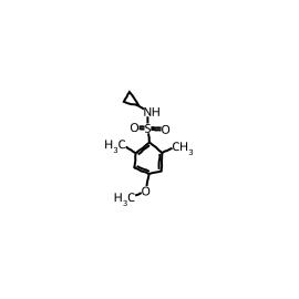 COc1cc(C)c(S(=O)(=O)NC2CC2)c(C)c1